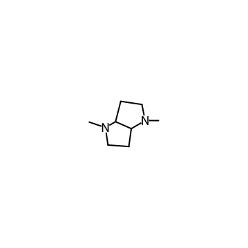 CN1CCC2C1CCN2C